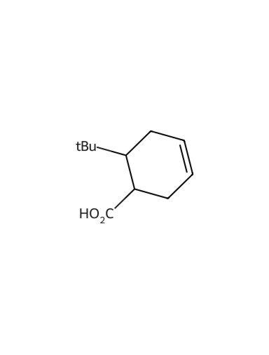 CC(C)(C)C1CC=CCC1C(=O)O